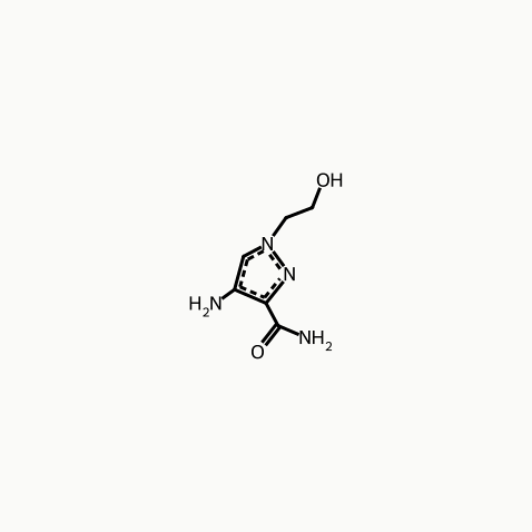 NC(=O)c1nn(CCO)cc1N